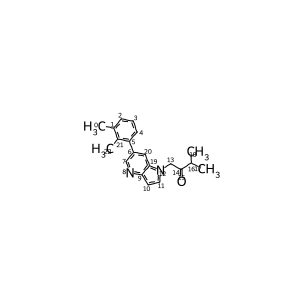 Cc1cccc(-c2cnc3ccn(CC(=O)C(C)C)c3c2)c1C